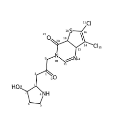 O=C(CC1NCCC1O)CN1C=NC2C(Cl)=C(Cl)SC2C1=O